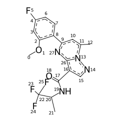 COc1cc(F)ccc1-c1cc(C)n2ncc(C(=O)NC(C)C(F)(F)F)c2n1